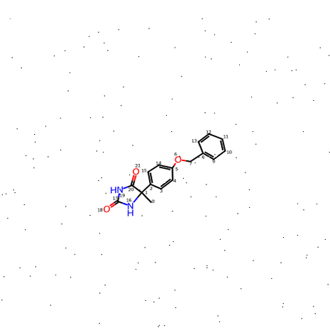 CC1(c2ccc(OCc3ccccc3)cc2)NC(=O)NC1=O